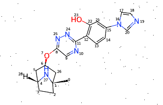 C[C@]12CC[C@H](C[C@@H](Oc3cnc(-c4ccc(-n5ccnc5)cc4O)nn3)C1)N2